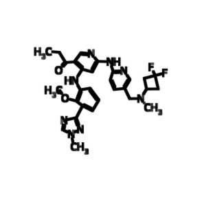 CCC(=O)c1cnc(Nc2ccc(CN(C)C3CC(F)(F)C3)cn2)cc1Nc1cccc(-c2ncn(C)n2)c1OC